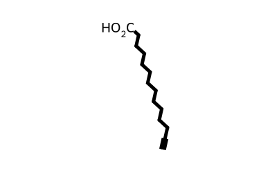 C#CCCCCCCCCCCCC(=O)O